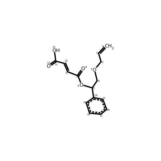 C=CCOCC(OC(=O)C=CC(=O)O)c1ccccc1